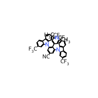 Cc1cc(-c2c(-n3c4cc(C(F)(F)F)ccc4c4ccc(C(F)(F)F)cc43)cc(C#N)cc2-n2c3cc(C(F)(F)F)ccc3c3ccc(C(F)(F)F)cc32)cc(C)n1